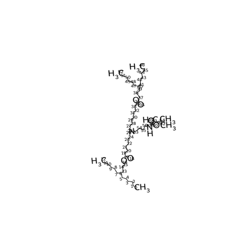 CCCCCCC(CCCCCC)CCCOC(=O)CCCCCCCN(CCCCCCCC(=O)OCCCC(CCCCCC)CCCCCC)CCCCNC(=O)OC(C)(C)C